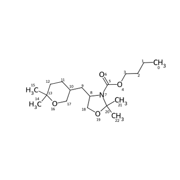 CCCCOC(=O)N1C(CC2CCC(C)(C)OC2)COC1(C)C